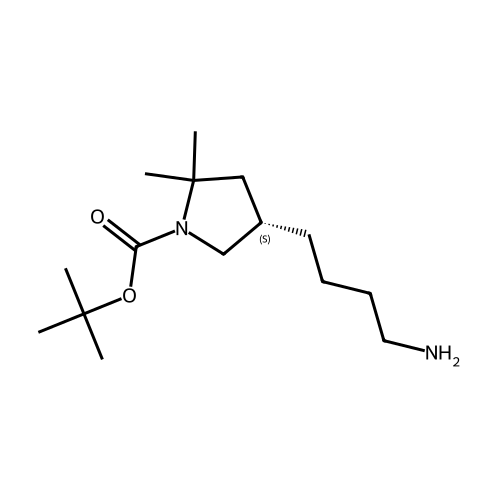 CC(C)(C)OC(=O)N1C[C@@H](CCCCN)CC1(C)C